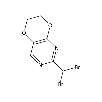 BrC(Br)c1ncc2c(n1)OCCO2